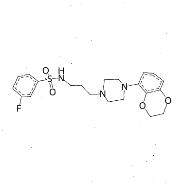 O=S(=O)(NCCCN1CCN(c2cccc3c2OCCO3)CC1)c1cccc(F)c1